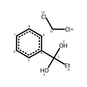 CCC(O)(O)c1ccccc1.ClCCl